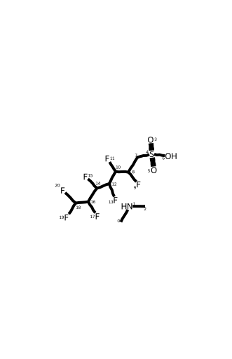 CNC.O=S(=O)(O)CC(F)C(F)C(F)C(F)C(F)C(F)F